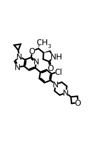 C[C@@H](Oc1nc(-c2ccc(N3CCN(C4COC4)CC3)c(Cl)c2)cc2ncn(C3CC3)c12)[C@H]1CNC(=O)C1